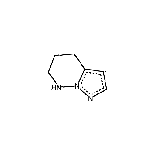 [c]1cnn2c1CCCN2